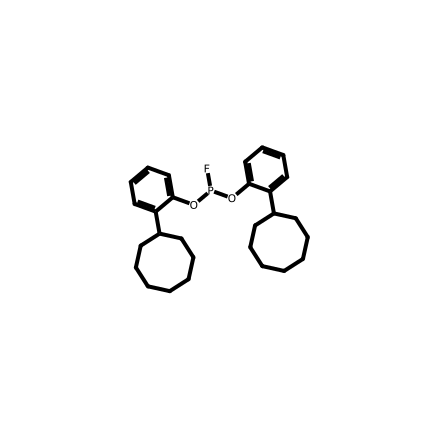 FP(Oc1ccccc1C1CCCCCCC1)Oc1ccccc1C1CCCCCCC1